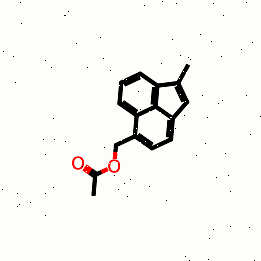 CC(=O)OCc1ccc2c3c(cccc13)C(C)=C2